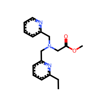 CCc1cccc(CN(CC(=O)OC)Cc2ccccn2)n1